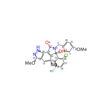 COc1ccc(CN2C(=O)c3c(c([N+](=O)[O-])cc4c(OC)n[nH]c34)C2(O)c2cc(F)ccc2Cl)cc1